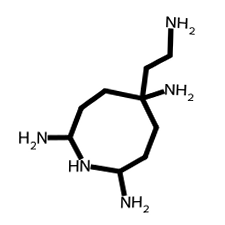 NCCC1(N)CCC(N)NC(N)CC1